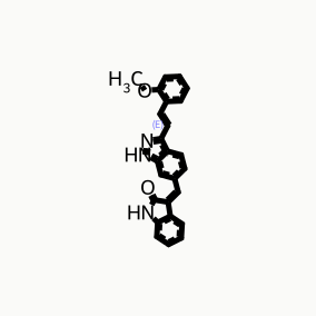 COc1ccccc1/C=C/c1n[nH]c2cc(C=C3C(=O)Nc4ccccc43)ccc12